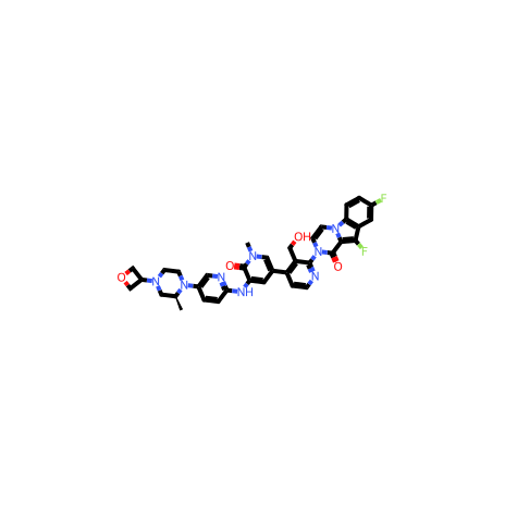 C[C@H]1CN(C2COC2)CCN1c1ccc(Nc2cc(-c3ccnc(-n4ccn5c(c(F)c6cc(F)ccc65)c4=O)c3CO)cn(C)c2=O)nc1